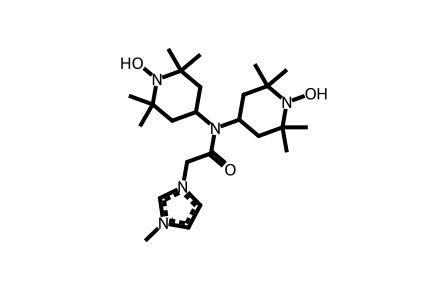 C[n+]1ccn(CC(=O)N(C2CC(C)(C)N(O)C(C)(C)C2)C2CC(C)(C)N(O)C(C)(C)C2)c1